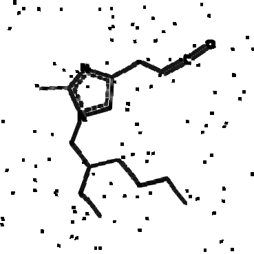 CCCCC(CC)Cn1cc(CC=C=O)nc1C